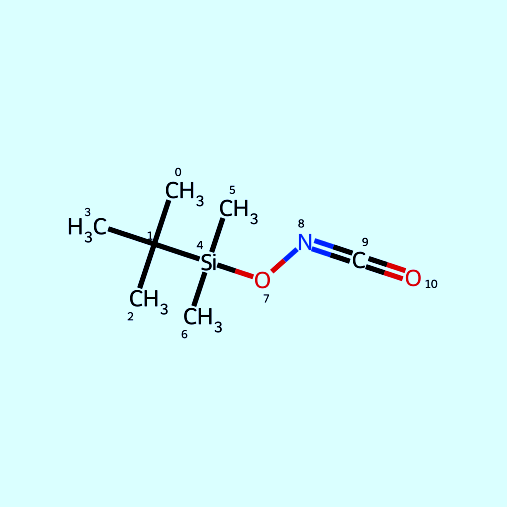 CC(C)(C)[Si](C)(C)ON=C=O